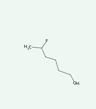 CC(F)CCCCO